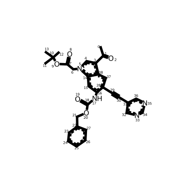 CC(=O)c1cn(CC(=O)OC(C)(C)C)c2cc(NC(=O)OCc3ccccc3)c(C#Cc3cncnc3)cc12